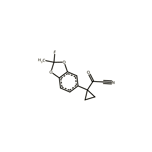 CC1(F)Oc2ccc(C3(C(=O)C#N)CC3)cc2O1